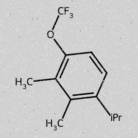 Cc1c(OC(F)(F)F)ccc(C(C)C)c1C